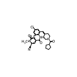 Cc1cc(Cl)cc(C=C2CCN(C(=O)C3CCCC3)CC2)c1NC(=O)c1cc(C#N)n(C)c(=O)c1